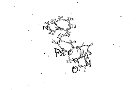 O=c1cnc2cccnc2n1Cc1ccc(-c2cccc3c2C=NC3)cc1F